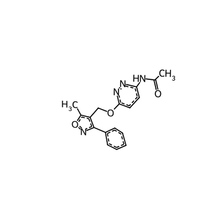 CC(=O)Nc1ccc(OCc2c(-c3ccccc3)noc2C)nn1